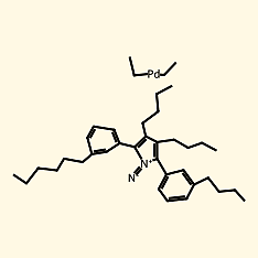 CCCCCCc1cccc(C2=C(CCCC)C(CCCC)=C(c3cccc(CCCC)c3)[N+]2=[N-])c1.C[CH2][Pd][CH2]C